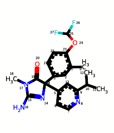 Cc1cc(C2(c3ccnc(C(C)C)c3)N=C(N)N(C)C2=O)ccc1OC(F)F